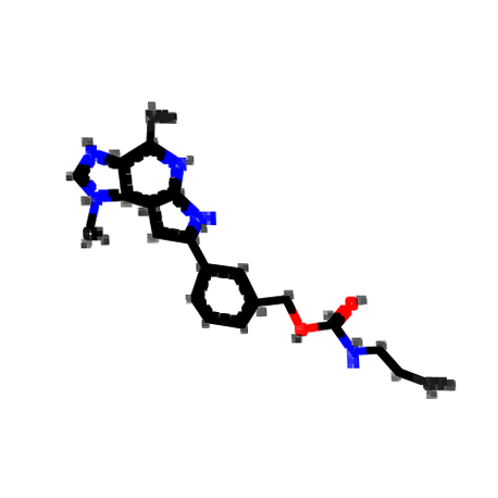 CNc1nc2[nH]c(-c3cccc(COC(=O)NCCOC)c3)cc2c2c1ncn2C